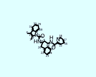 Cc1c(C)n(C(=O)NC(CCNC(=O)c2ccccn2)Cc2ccccc2)c2ccccc12